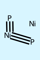 [Ni].[P]#[Ni]#[P]